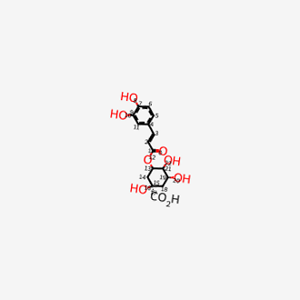 O=C(/C=C/c1ccc(O)c(O)c1)OC1C[C@@](O)(C(=O)O)C[C@H](O)C1O